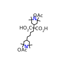 CC(=O)ON1C(C)(C)CC(CCCCC(C(=O)O)(C(=O)O)C2CC(C)(C)N(OC(C)=O)C(C)(C)C2)CC1(C)C